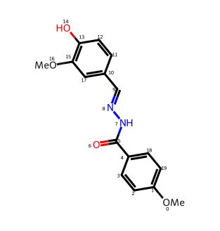 COc1ccc(C(=O)NN=Cc2ccc(O)c(OC)c2)cc1